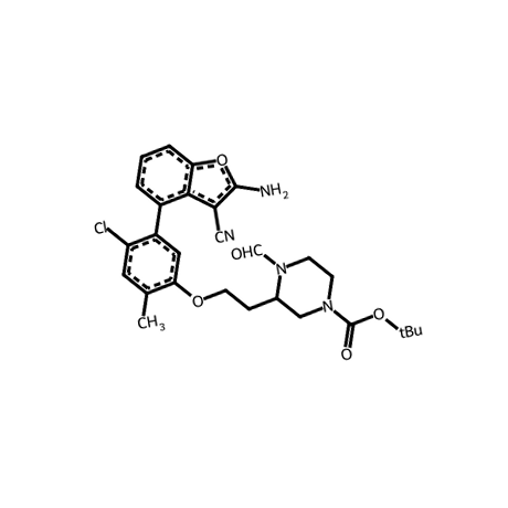 Cc1cc(Cl)c(-c2cccc3oc(N)c(C#N)c23)cc1OCCC1CN(C(=O)OC(C)(C)C)CCN1C=O